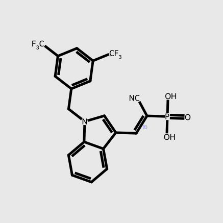 N#C/C(=C\c1cn(Cc2cc(C(F)(F)F)cc(C(F)(F)F)c2)c2ccccc12)P(=O)(O)O